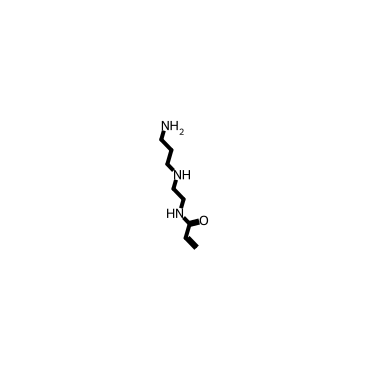 C=CC(=O)NCCNCCCN